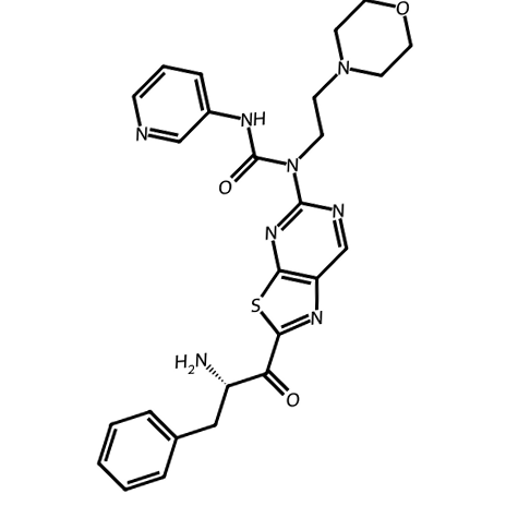 N[C@@H](Cc1ccccc1)C(=O)c1nc2cnc(N(CCN3CCOCC3)C(=O)Nc3cccnc3)nc2s1